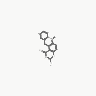 COc1ccc2c(c1Cc1ccccc1)C(=O)OC(O)N2